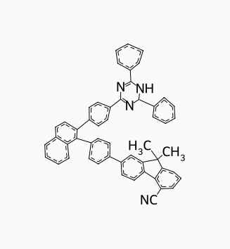 CC1(C)c2cc(-c3ccc(-c4c(-c5ccc(C6=NC(c7ccccc7)NC(c7ccccc7)=N6)cc5)ccc5ccccc45)cc3)ccc2-c2c(C#N)cccc21